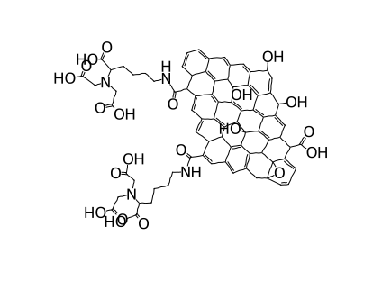 O=C(O)CN(CC(=O)O)C(CCCCNC(=O)C1=Cc2cc3c4c5c2C2C6=c7c8c9c(cc7=CC12)C(C(=O)NCCCCC(C(=O)O)N(CC(=O)O)CC(=O)O)C1C=CC=C2C=C7C=C%10C%11=C%12C(=CC%10O)C(O)C%10=CC%13C(=C%14C%10=C%12C(=C8C%11(O)C7C9=C21)C6C%145O)C4C12OC1(C=CC=C2C%13C(=O)O)C3)C(=O)O